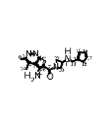 Cc1nnc2sc(C(=O)N3CC(NCC4=CC=CC4)C3)c(N)c2c1C